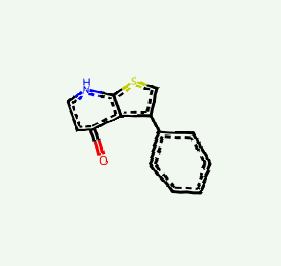 O=c1cc[nH]c2scc(-c3ccccc3)c12